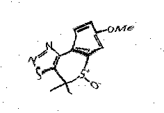 COc1ccc2c(c1)[S+]([O-])C(C)(C)c1snnc1-2